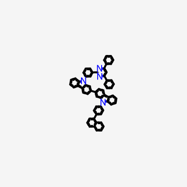 c1ccc(-c2cc(-c3ccccc3)nc(-c3cccc(-n4c5ccccc5c5ccc(-c6ccc7c8ccccc8n(-c8ccc(-c9cccc%10ccccc9%10)cc8)c7c6)cc54)c3)n2)cc1